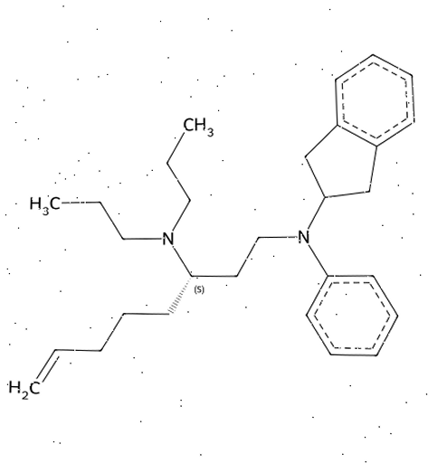 C=CCCC[C@@H](CCN(c1ccccc1)C1Cc2ccccc2C1)N(CCC)CCC